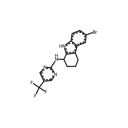 FC(F)(F)c1cnc(NC2CCCc3c2[nH]c2ccc(Br)cc32)nc1